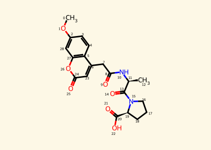 COc1ccc2c(CC(=O)N[C@@H](C)C(=O)N3CCC[C@H]3C(=O)O)cc(=O)oc2c1